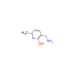 Cc1ccc(CN)c(O)n1